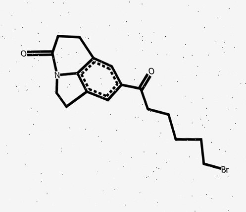 O=C(CCCCCBr)c1cc2c3c(c1)CCN3C(=O)CC2